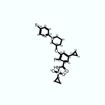 O=C(NS(=O)(=O)C1CC1)c1cc(C2CC2)cc(OC2CCCN(c3ccc(F)cn3)C2)c1F